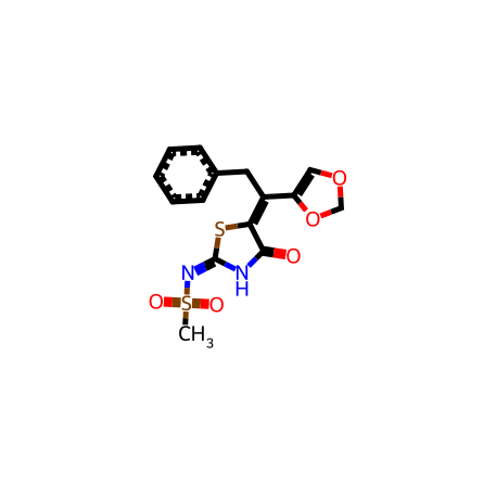 CS(=O)(=O)N=C1NC(=O)C(=C(Cc2ccccc2)C2=COCO2)S1